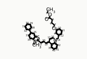 CCOC(=O)CCCOc1cccc(CN2C=CC(=CC=Cc3sc4cc(-c5ccccc5)ccc4[n+]3C)c3ccccc32)c1